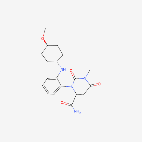 CO[C@H]1CC[C@H](Nc2ccccc2N2C(=O)N(C)C(=O)CC2C(N)=O)CC1